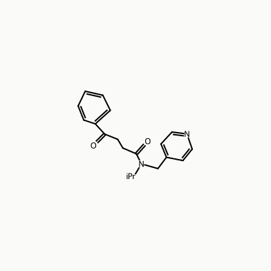 CC(C)N(Cc1ccncc1)C(=O)CCC(=O)c1ccccc1